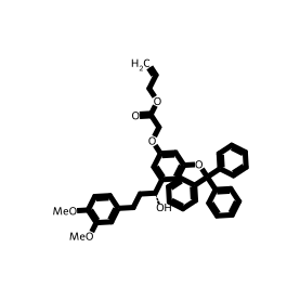 C=CCOC(=O)COc1cc(OC(c2ccccc2)(c2ccccc2)c2ccccc2)cc([C@H](O)CCc2ccc(OC)c(OC)c2)c1